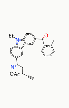 C#CCC/C(=N\OC(C)=O)c1ccc2c(c1)c1cc(C(=O)c3ccccc3C)ccc1n2CC